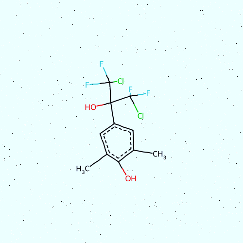 Cc1cc(C(O)(C(F)(F)Cl)C(F)(F)Cl)cc(C)c1O